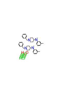 Cc1cccc(N(C)C2CCN(Cc3ccccc3)CC2)c1.Cc1cccc(N(C)C2CCN(Cc3ccccc3)CC2)c1.Cl.Cl.Cl.Cl.O